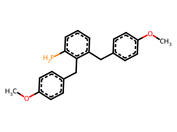 COc1ccc(Cc2cccc(P)c2Cc2ccc(OC)cc2)cc1